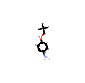 CC(C)(C)COc1ccc(N)cc1